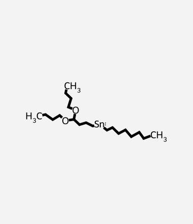 CCCCCCC[CH2][Sn][CH2]CCC(OCCCC)OCCCC